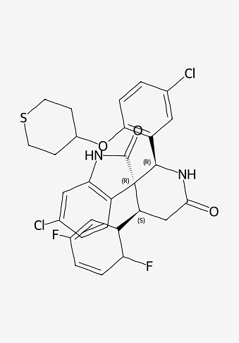 O=C1C[C@@H](C2C=C(F)C=CC2F)[C@]2(C(=O)Nc3cc(Cl)ccc32)[C@@H](c2cc(Cl)ccc2OC2CCSCC2)N1